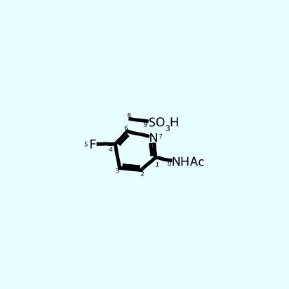 CC(=O)Nc1ccc(F)cn1.CS(=O)(=O)O